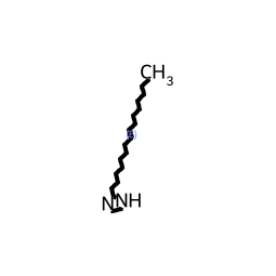 CCCCCCCC/C=C/CCCCCCCC1=NCCN1